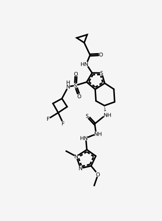 COc1cc(NNC(=S)N[C@H]2CCc3sc(NC(=O)C4CC4)c(S(=O)(=O)NC4CC(F)(F)C4)c3C2)n(C)n1